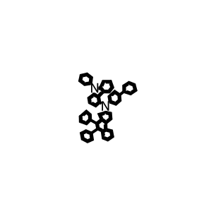 c1ccc(-c2ccc(N(c3ccc4c(c3)c(-c3ccccc3)c(-c3ccccc3)c3ccccc34)c3cccc4c3c3ccccc3n4-c3ccccc3)cc2)cc1